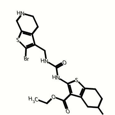 CCOC(=O)c1c(NC(=O)NCc2c(Br)sc3c2CCNC3)sc2c1CC(C)CC2